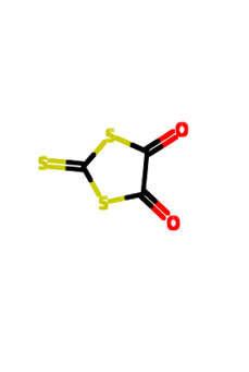 O=C1SC(=S)SC1=O